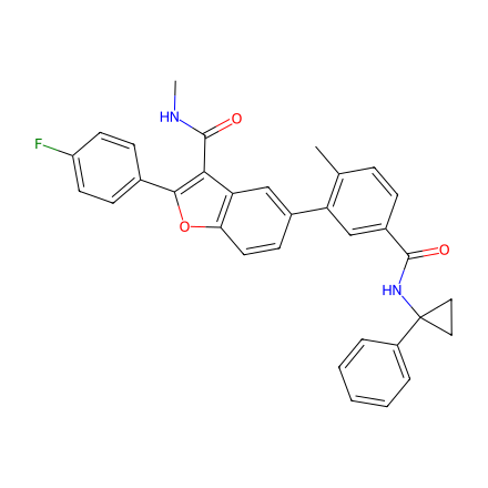 CNC(=O)c1c(-c2ccc(F)cc2)oc2ccc(-c3cc(C(=O)NC4(c5ccccc5)CC4)ccc3C)cc12